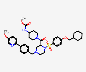 CC(C)(C)OC(=O)NC1CCN(C(=O)[C@@H]2CN(Cc3ccc(-c4ccc(OC(F)(F)F)cn4)cc3)CCN2S(=O)(=O)c2ccc(OCC3CCCCC3)cc2)CC1